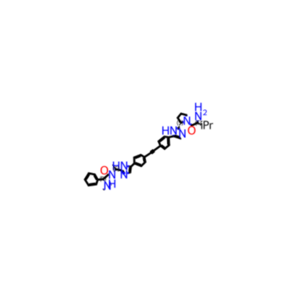 CC(C)[C@H](N)C(=O)N1CCC[C@H]1c1ncc(-c2ccc(C#Cc3ccc(-c4cnc([C@H](C)NC(=O)[C@@H](c5ccccc5)N(C)C)[nH]4)cc3)cc2)[nH]1